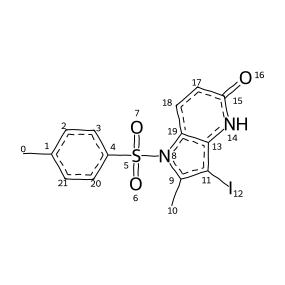 Cc1ccc(S(=O)(=O)n2c(C)c(I)c3[nH]c(=O)ccc32)cc1